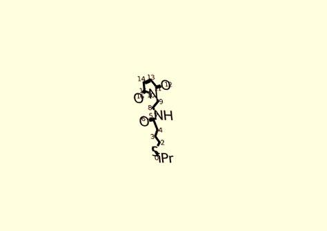 CC(C)SCCCC(=O)NCCN1C(=O)C=CC1=O